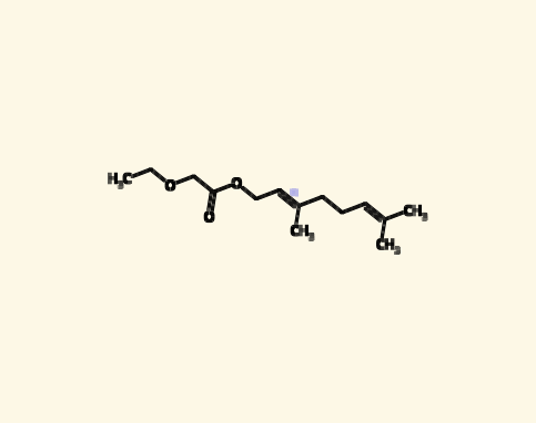 CCOCC(=O)OC/C=C(\C)CCC=C(C)C